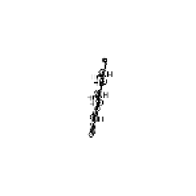 O=[C]COCCOCCNC(=O)COCCOCCNC(=O)CC[C@H](NC(=O)CCCCCNC(=O)CC[C@H](NC(=O)CCCCCc1ccccc1)C(=O)O)C(=O)O